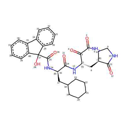 NC(=O)C(=O)[C@H](C[C@H]1CCNC1=O)NC(=O)[C@@H](CC1CCCCC1)NC(=O)C1(O)c2ccccc2-c2ccccc21